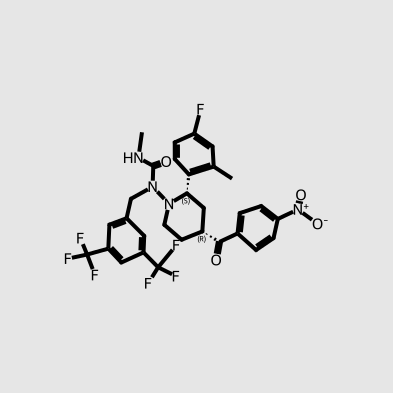 CNC(=O)N(Cc1cc(C(F)(F)F)cc(C(F)(F)F)c1)N1CC[C@@H](C(=O)c2ccc([N+](=O)[O-])cc2)C[C@H]1c1ccc(F)cc1C